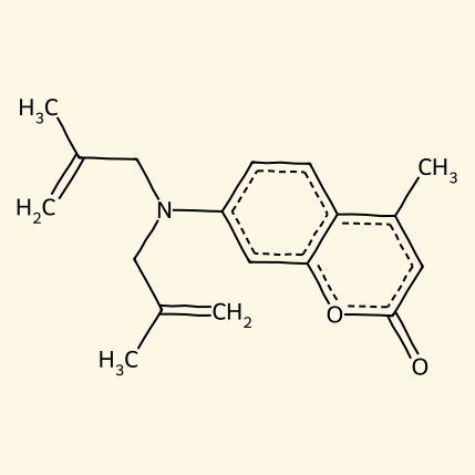 C=C(C)CN(CC(=C)C)c1ccc2c(C)cc(=O)oc2c1